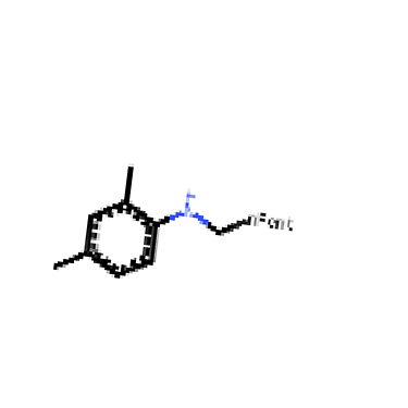 CCCCCCNc1ccc(C)cc1C